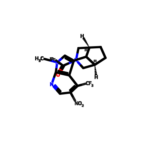 CC(C)C(=O)N1C[C@H]2CC[C@@H](C1)C2c1cn(C)c2ncc([N+](=O)[O-])c(C(F)(F)F)c12